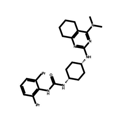 CC(C)c1cccc(C(C)C)c1NC(=O)N[C@H]1CC[C@@H](Nc2nc3c(c(N(C)C)n2)CCCC3)CC1